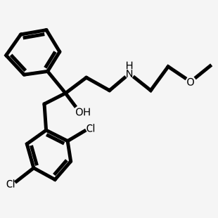 COCCNCCC(O)(Cc1cc(Cl)ccc1Cl)c1ccccc1